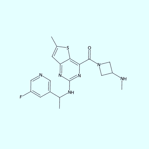 CNC1CN(C(=O)c2nc(NC(C)c3cncc(F)c3)nc3cc(C)sc23)C1